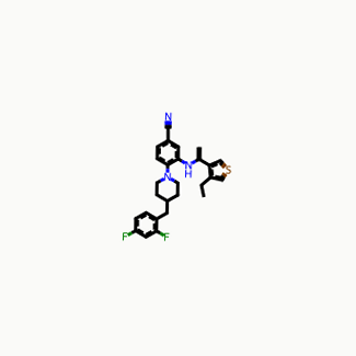 C=C(Nc1cc(C#N)ccc1N1CCC(Cc2ccc(F)cc2F)CC1)c1cscc1CC